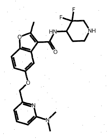 Cc1oc2ccc(OCc3cccc(N(C)C)n3)cc2c1C(=O)NC1CCNCC1(F)F